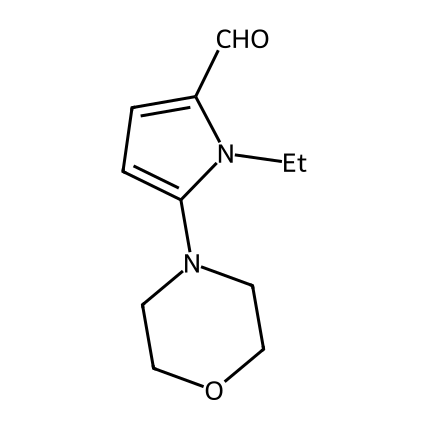 CCn1c(C=O)ccc1N1CCOCC1